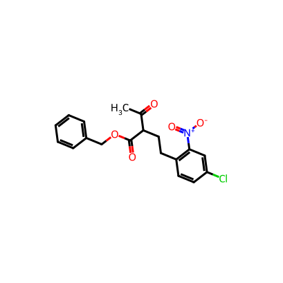 CC(=O)C(CCc1ccc(Cl)cc1[N+](=O)[O-])C(=O)OCc1ccccc1